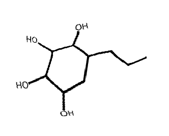 CCCC1CC(O)C(O)C(O)C1O